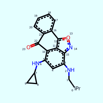 CC(C)CNc1cc(NC2CC2)c2c3c(onc13)-c1ccccc1C2=O